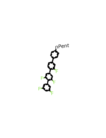 CCCCCc1ccc(-c2ccc(-c3cc(F)c(-c4cc(F)cc(F)c4)c(F)c3)c(F)c2)cc1